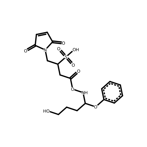 O=C(CC(CN1C(=O)C=CC1=O)S(=O)(=O)O)ONC(CCCO)Oc1ccccc1